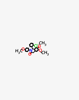 CCOc1cc2c(cc1OCC)C(c1ccccc1Cl)N(c1ccc(OC)cc1)C(=O)C2